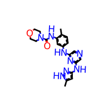 Cc1cc(Nc2cncc(Nc3ccc(C)c(NC(=O)N4CCOCC4)c3)n2)n[nH]1